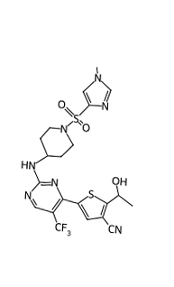 CC(O)c1sc(-c2nc(NC3CCN(S(=O)(=O)c4cn(C)cn4)CC3)ncc2C(F)(F)F)cc1C#N